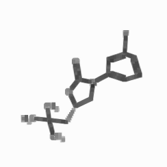 CC(C)(C)C[C@H]1CN(c2cccc(F)c2)C(=O)O1